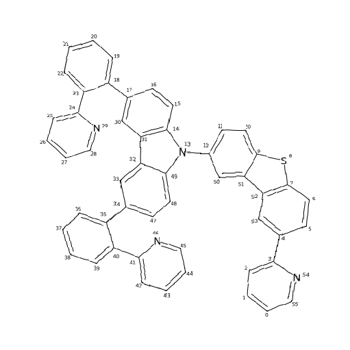 c1ccc(-c2ccc3sc4ccc(-n5c6ccc(-c7ccccc7-c7ccccn7)cc6c6cc(-c7ccccc7-c7ccccn7)ccc65)cc4c3c2)nc1